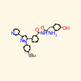 CC(C)(C)c1ccc(-n2nc(-c3cccnc3)cc2-c2cccc(C(=O)NC(=O)[C@@H](N)Cc3ccc(O)cc3)c2)cc1